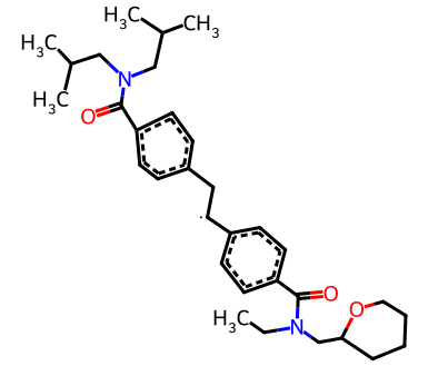 CCN(CC1CCCCO1)C(=O)c1ccc([CH]Cc2ccc(C(=O)N(CC(C)C)CC(C)C)cc2)cc1